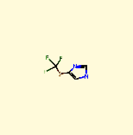 FC(F)(F)SC1=C[N]C=N1